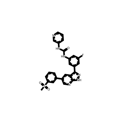 CS(=O)(=O)c1cccc(-c2cnc3[nH]nc(-c4cc(F)cc(NC(=O)Nc5cccnc5)c4)c3c2)c1